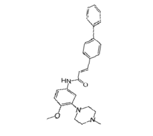 COc1ccc(NC(=O)C=Cc2ccc(-c3ccccc3)cc2)cc1N1CCN(C)CC1